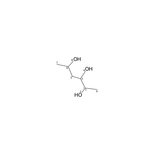 C[C](O)C(O)CC(C)O